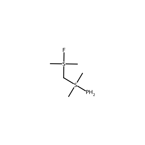 CS(C)(F)CS(C)(C)P